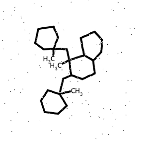 CC1(CC2CCC3CCCCC3C2(C)CC2(C)CCCCC2)CCCCC1